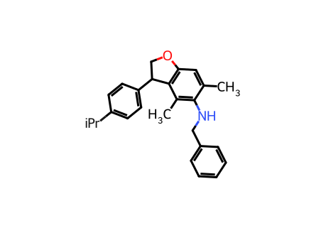 Cc1cc2c(c(C)c1NCc1ccccc1)C(c1ccc(C(C)C)cc1)CO2